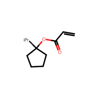 C=CC(=O)OC1(C(C)C)CCCC1